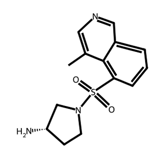 Cc1cncc2cccc(S(=O)(=O)N3CC[C@H](N)C3)c12